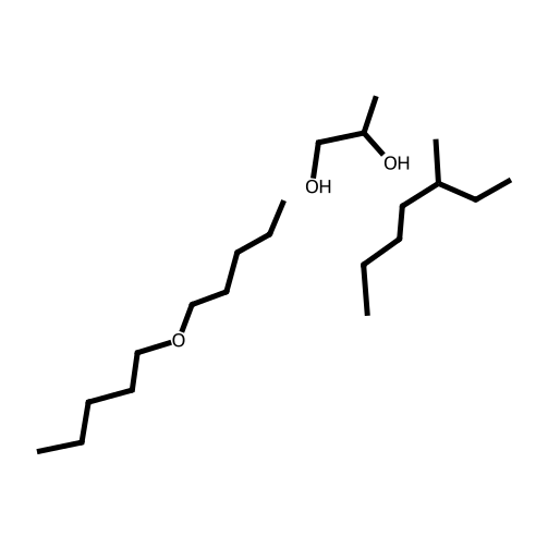 CC(O)CO.CCCCC(C)CC.CCCCCOCCCCC